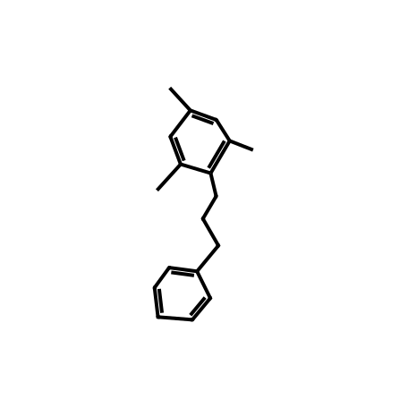 Cc1cc(C)c(CCCc2ccccc2)c(C)c1